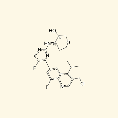 CC(C)c1c(CCl)cnc2c(F)cc(-c3nc(N[C@@H]4CCOC[C@H]4O)ncc3F)cc12